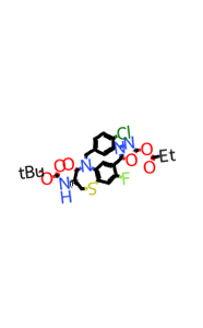 CCC(=O)Oc1nnc(-c2cc3c(cc2F)SC[C@H](NC(=O)OC(C)(C)C)C(=O)N3Cc2ccc(Cl)cc2)o1